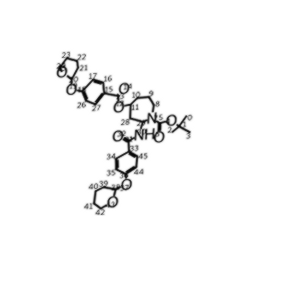 CC(C)(C)OC(=O)N1CCCC(OC(=O)c2ccc(OC3CCCCO3)cc2)CC1NC(=O)c1ccc(OC2CCCCO2)cc1